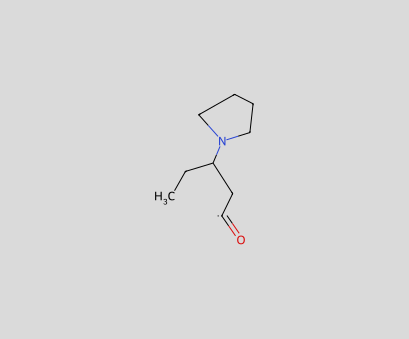 CCC(C[C]=O)N1CCCC1